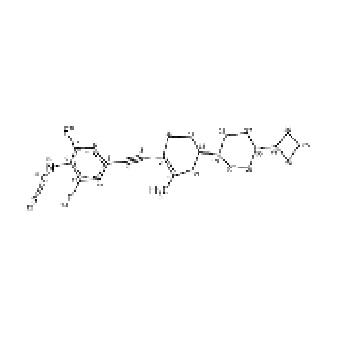 CC1=C(C#Cc2cc(F)c(N=C=S)c(F)c2)CCC(C2CCC(C3CCC3)CC2)C1